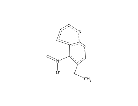 CSc1ccc2ncccc2c1[N+](=O)[O-]